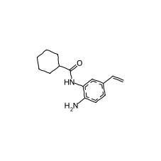 C=Cc1ccc(N)c(NC(=O)C2CCCCC2)c1